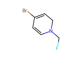 FCN1C=CC(Br)=CC1